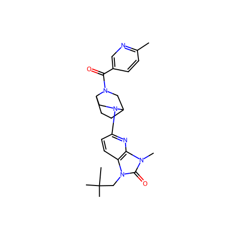 Cc1ccc(C(=O)N2CC3CCC2CN3c2ccc3c(n2)n(C)c(=O)n3CC(C)(C)C)cn1